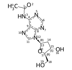 CC(=O)Nc1ncnc2c1ncn2[C@H]1C[C@H](O)[C@@H](CO)O1